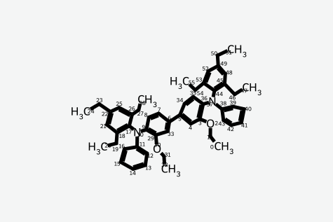 CCOc1cc(-c2ccc(N(c3ccccc3)c3c(CC)cc(CC)cc3CC)c(OCC)c2)ccc1N(c1ccccc1)c1c(CC)cc(CC)cc1CC